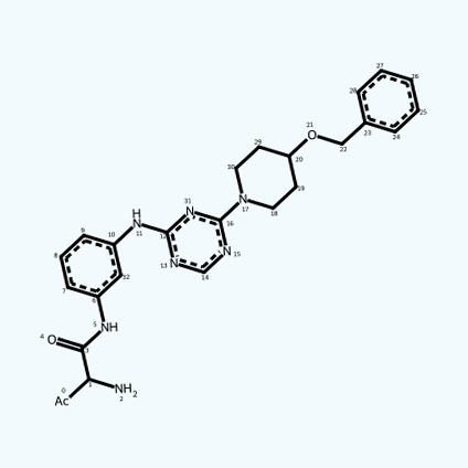 CC(=O)C(N)C(=O)Nc1cccc(Nc2ncnc(N3CCC(OCc4ccccc4)CC3)n2)c1